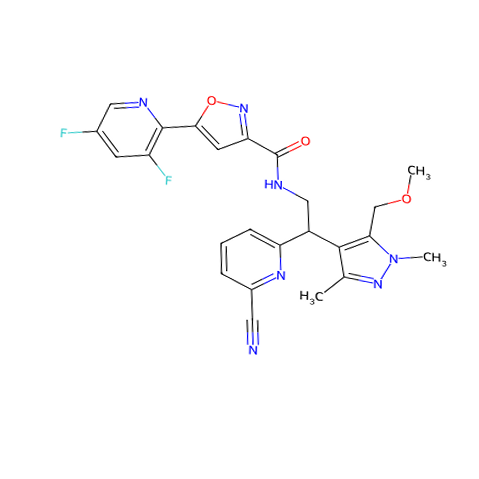 COCc1c(C(CNC(=O)c2cc(-c3ncc(F)cc3F)on2)c2cccc(C#N)n2)c(C)nn1C